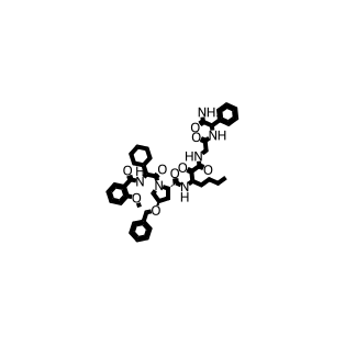 CCCCC(NC(=O)[C@@H]1C[C@@H](OCc2ccccc2)CN1C(=O)C(NC(=O)c1ccccc1OC)C1CCCCC1)C(=O)C(=O)NCC(=O)NC(C(N)=O)c1ccccc1